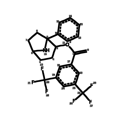 C=C(OC1CCC2CCC1(c1ccccc1)N2)c1cc(C(F)(F)F)cc(C(F)(F)F)c1